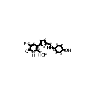 CCc1cc(-c2ccc(CNC3CCC(O)CC3)s2)c(C)[nH]c1=O.Cl